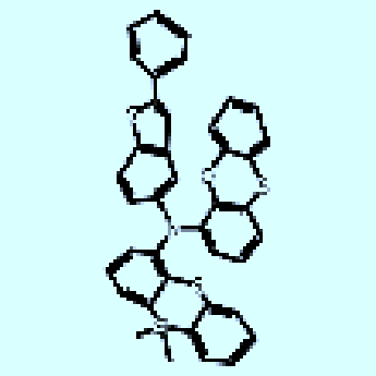 C[Si]1(C)c2ccccc2Sc2c(N(c3ccc4sc(-c5ccccc5)cc4c3)c3cccc4c3Oc3ccccc3S4)cccc21